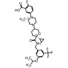 CC(C)Oc1cc(CNC(=O)[C@@]2(C3CC3)CCC(N3CCN(c4ccc(F)c(C(=O)O)c4)[C@@H](C)C3)CO2)cc(C(F)(F)F)c1